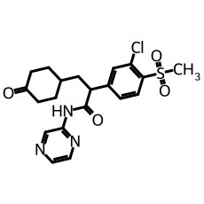 CS(=O)(=O)c1ccc(C(CC2CCC(=O)CC2)C(=O)Nc2cnccn2)cc1Cl